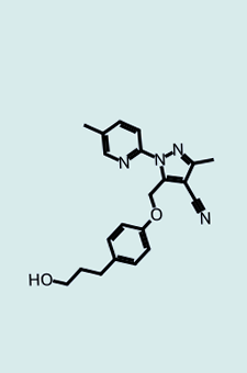 Cc1ccc(-n2nc(C)c(C#N)c2COc2ccc(CCCO)cc2)nc1